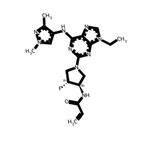 C=CC(=O)N[C@@H]1CN(c2nc(Nc3cn(C)nc3C)c3ncn(CC)c3n2)C[C@H]1F